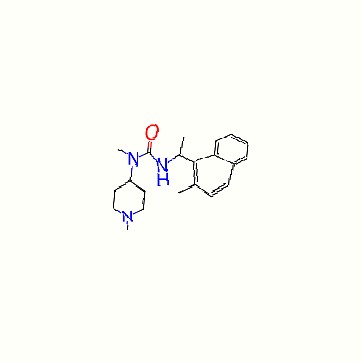 Cc1ccc2ccccc2c1C(C)NC(=O)N(C)C1CCN(C)CC1